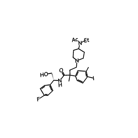 CCN(C(C)=O)C1CCN(CCC(C)(C(=O)N[C@@H](CO)c2ccc(F)cc2)c2ccc(I)c(C)c2)CC1